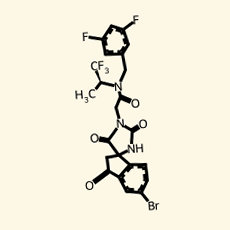 C[C@H](N(Cc1cc(F)cc(F)c1)C(=O)CN1C(=O)NC2(CC(=O)c3cc(Br)ccc32)C1=O)C(F)(F)F